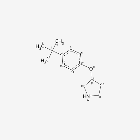 CC(C)(C)c1ccc(O[C@@H]2CCNC2)cc1